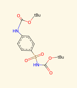 CC(C)(C)OC(=O)Nc1ccc(S(=O)(=O)NC(=O)OC(C)(C)C)cc1